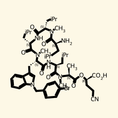 CC(C)C[C@H](NC(=O)[C@H](Cc1cn(Cc2ccc(Br)cc2)c2ccccc12)N(C)C(=O)[C@H](CC(C)C)NC(=O)[C@H](CC(C)C)N(C)C(=O)[C@@H](N)CC(C)C)C(=O)N(C)[C@@H](C)C(=O)O[C@H](CCC#N)C(=O)O